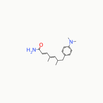 CC(/C=C/C(N)=O)=C\C(C)Cc1ccc(N(C)C)cc1